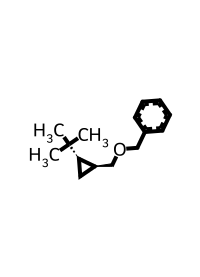 CC(C)(C)[C@H]1C[C@@H]1COCc1ccccc1